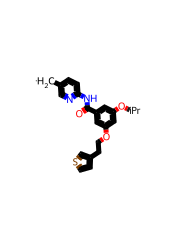 [CH2]c1ccc(NC(=O)c2cc(OCCc3ccsc3)cc(OC(C)C)c2)nc1